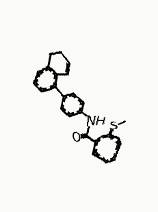 CSc1ccccc1C(=O)Nc1ccc(-c2cccc3c2C=CCC3)cc1